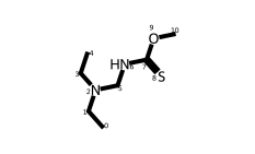 CCN(CC)CNC(=S)OC